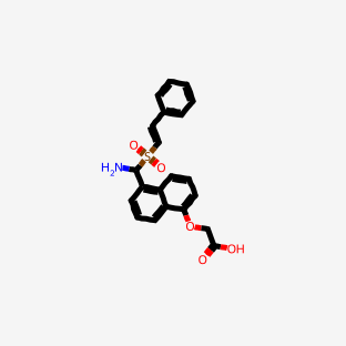 NC(c1cccc2c(OCC(=O)O)cccc12)S(=O)(=O)/C=C/c1ccccc1